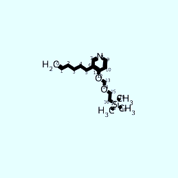 C=CCCCCc1cnccc1OCOCC[Si](C)(C)C